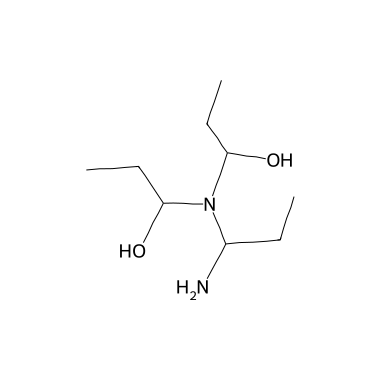 CCC(N)N(C(O)CC)C(O)CC